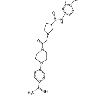 CC(=N)c1ccc(N2CCN(C(=O)CN3CCC(C(=O)Nc4ccc(O)c(Cl)c4)C3)CC2)cc1